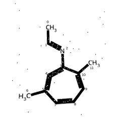 C/C=N/C1=C=C(C)C=CC=C1C